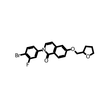 O=c1c2ccc(OCC3CCCO3)cc2ccn1-c1ccc(Br)c(F)c1